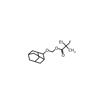 CCC(C)(F)C(=O)OCOC1C2CC3CC(C2)CC1C3